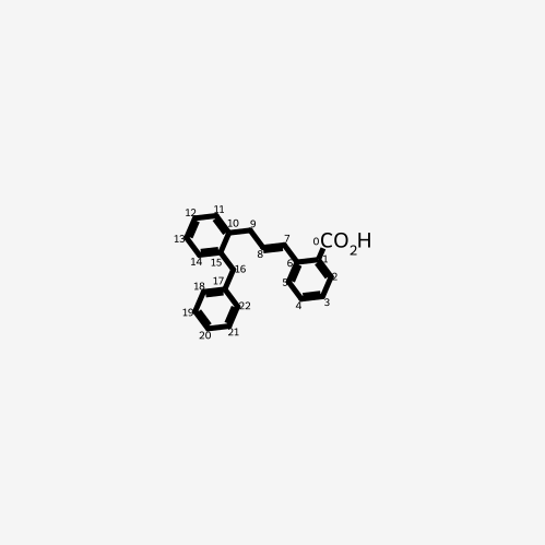 O=C(O)c1ccccc1C=CCc1ccccc1Cc1ccccc1